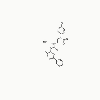 CC(C)C(OC(=O)NCCC(C(=O)[O-])c1ccc(Cl)cc1)OC(=O)c1ccccc1.[Na+]